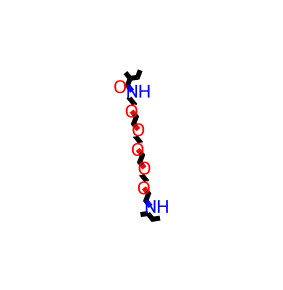 CCC(C)NCCOCCOCCOCCOCCOCCNC(=O)C(C)CC